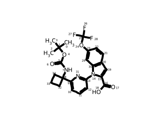 CC(C)(C)OC(=O)NC1(c2cccc(-n3c(C(=O)O)cc4ccc(OC(F)(F)F)cc43)n2)CCC1